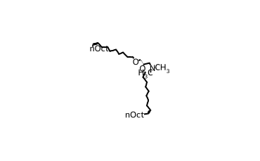 CCCCCCCC/C=C\CCCCCCCCOC[C@H](CN(C)C)OCCCCCCCC/C=C\CCCCCCCC